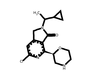 CC(C1CC1)N1Cc2cc(Cl)nc([C@@H]3CNCCO3)c2C1=O